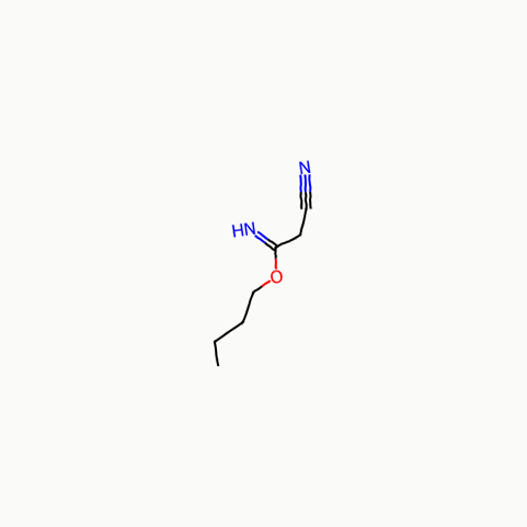 CCCCOC(=N)CC#N